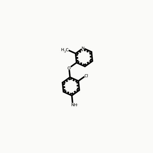 Cc1ncccc1Oc1ccc([NH])cc1Cl